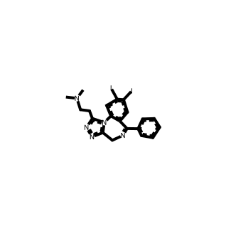 CN(C)CCc1nnc2n1-c1cc(I)c(I)cc1C(c1ccccc1)=NC2